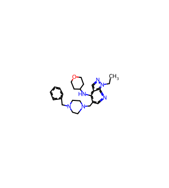 CCn1ncc2c(NC3CCOCC3)c(CN3CCN(Cc4ccccc4)CC3)cnc21